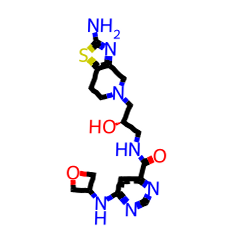 Nc1nc2c(s1)CCN(C[C@@H](O)CNC(=O)c1cc(NC3COC3)ncn1)C2